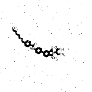 CCCCCCCCc1ccc(C(=O)Nc2ccc(-c3ccc4c(c3)C(=O)N(C(CC)C(=O)O)C4C)cc2)cc1